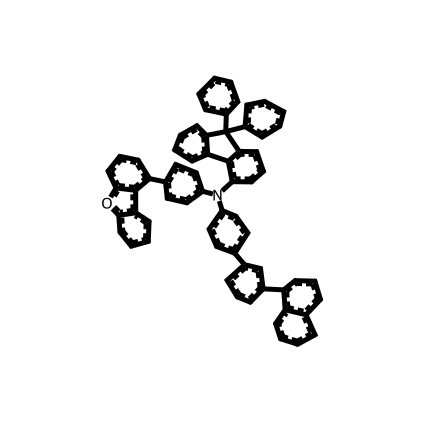 c1ccc(C2(c3ccccc3)c3ccccc3-c3c(N(c4ccc(-c5cccc(-c6cccc7ccccc67)c5)cc4)c4ccc(-c5cccc6oc7ccccc7c56)cc4)cccc32)cc1